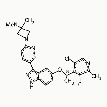 CNC1(C)CN(c2ccc(-c3n[nH]c4ccc(O[C@H](C)c5c(Cl)cnc(C)c5Cl)cc34)cn2)C1